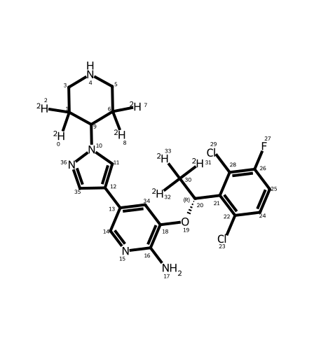 [2H]C1([2H])CNCC([2H])([2H])C1n1cc(-c2cnc(N)c(O[C@@H](c3c(Cl)ccc(F)c3Cl)C([2H])([2H])[2H])c2)cn1